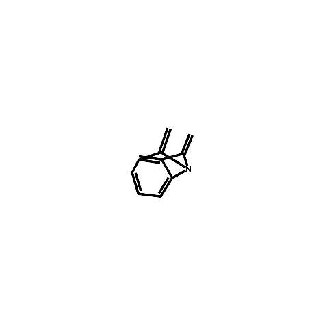 C=c1c2cccc3c2c(=C)n13